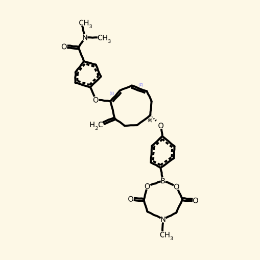 C=C1CC[C@@H](Oc2ccc(B3OC(=O)CN(C)CC(=O)O3)cc2)C/C=C\C=C/1Oc1ccc(C(=O)N(C)C)cc1